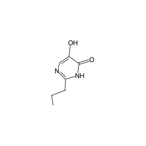 CCCc1ncc(O)c(=O)[nH]1